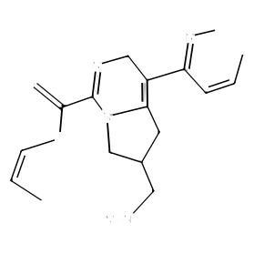 C=C(S/C=C\C)C1=NCC(C(/C=C\C)=N/C)=C2CC(CNC)CN12